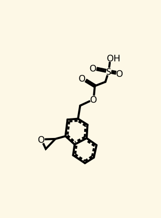 O=C(CS(=O)(=O)O)OCc1cc(C2CO2)c2ccccc2c1